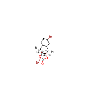 O=C1O[C@@H]2[C@@H]3c4cc(Br)ccc4[C@@H](c4cc(Br)ccc43)[C@@H]2O1